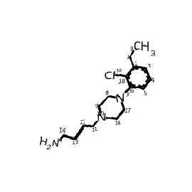 CCc1cccc(N2CCN(C/C=C/CN)CC2)c1Cl